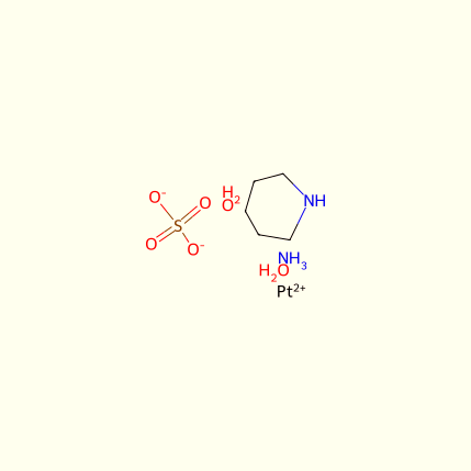 C1CCNCC1.N.O.O.O=S(=O)([O-])[O-].[Pt+2]